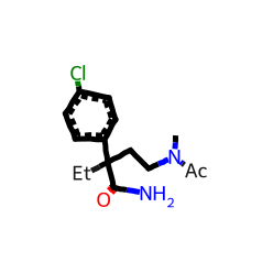 CCC(CCN(C)C(C)=O)(C(N)=O)c1ccc(Cl)cc1